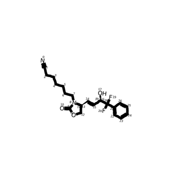 N#CCCCCCCN1C(=O)OC[C@@H]1C=C[C@@H](O)C(F)(F)c1ccccc1